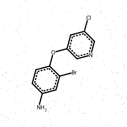 Nc1ccc(Oc2cncc(Cl)c2)c(Br)c1